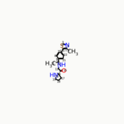 Cc1ncsc1-c1ccc([C@H](C)NCC(=O)[C@@H]2CCCN2)cc1